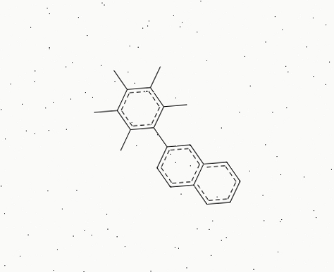 Cc1c(C)c(C)c(-c2ccc3ccccc3c2)c(C)c1C